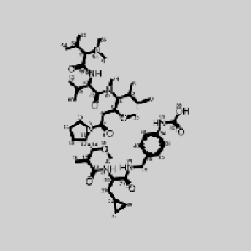 CCC(C)C(C(CC(=O)N1CCC[C@H]1C(OC)C(C)C(=O)NC(CC1CC1)C(=O)NCc1ccc(NC(=O)O)cc1)OC)N(C)C(=O)C(NC(=O)C(C(C)C)N(C)C)C(C)C